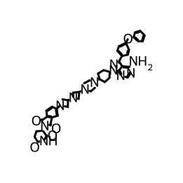 Nc1ncnc2c1c(-c1ccc(Oc3ccccc3)cc1)nn2C1CCC(N2CCN(C3CN(C4CN(c5ccc6c(c5)C(=O)N(C5CCC(=O)NC5=O)C6=O)C4)C3)CC2)CC1